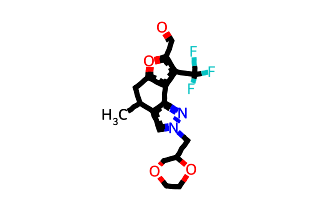 CC1Cc2oc(C=O)c(C(F)(F)F)c2-c2nn(CC3COCCO3)cc21